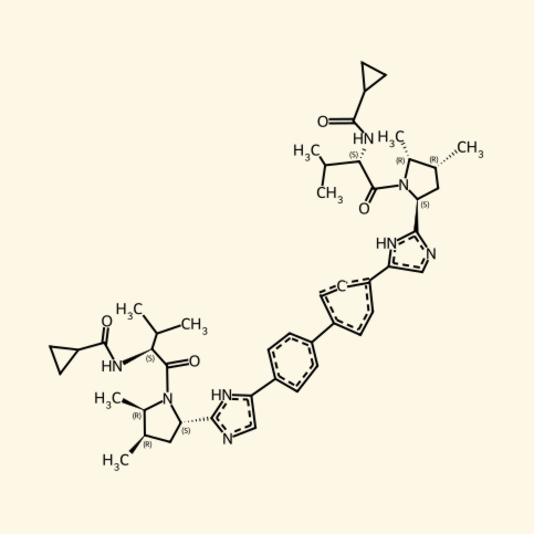 CC(C)[C@H](NC(=O)C1CC1)C(=O)N1[C@H](C)[C@H](C)C[C@H]1c1ncc(-c2ccc(-c3ccc(-c4cnc([C@@H]5C[C@@H](C)[C@@H](C)N5C(=O)[C@@H](NC(=O)C5CC5)C(C)C)[nH]4)cc3)cc2)[nH]1